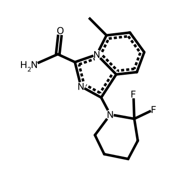 Cc1cccc2c(N3CCCCC3(F)F)nc(C(N)=O)n12